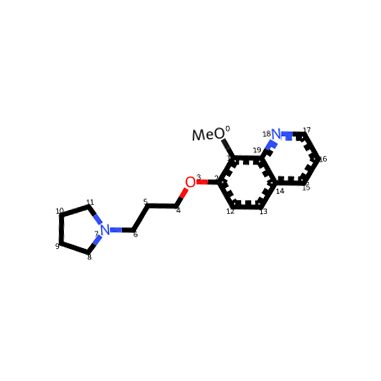 COc1c(OCCCN2CCCC2)ccc2[c]ccnc12